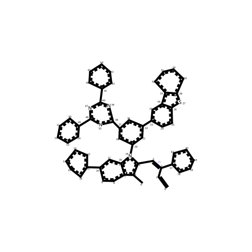 C=C/C(=C\c1c(C)c2ccc(-c3ccccc3)cc2n1-c1cc(-c2ccc3sc4ccccc4c3c2)cc(-c2nc(-c3ccccc3)nc(-c3ccccc3)n2)c1)c1ccccc1